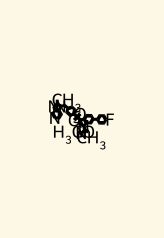 Cc1nc2cnccc2n1Cc1ccc(S(=O)(=O)c2cn(C(=O)N(C)C)c3cc(-c4ccc(F)cc4)ccc23)cc1